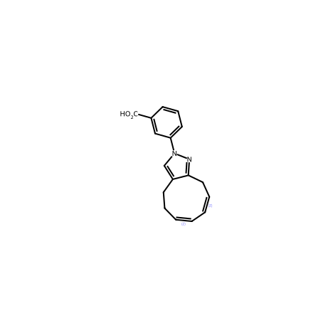 O=C(O)c1cccc(-n2cc3c(n2)C/C=C\C=C/CC3)c1